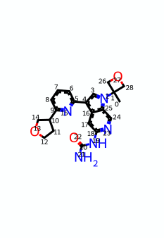 CC1(n2cc(-c3cccc(C4CCOC4)n3)c3cc(NC(N)=O)ncc32)COC1